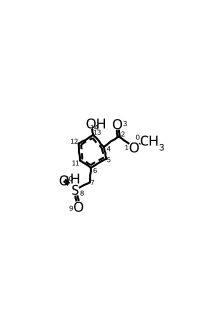 COC(=O)c1cc(C[SH](=O)=O)ccc1O